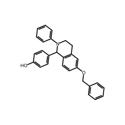 Oc1ccc(C2c3ccc(OCc4ccccc4)cc3CCN2c2ccccc2)cc1